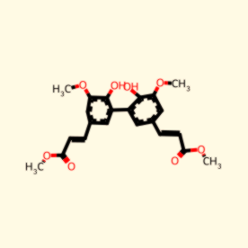 COC(=O)/C=C/c1cc(OC)c(O)c(-c2cc(/C=C/C(=O)OC)cc(OC)c2O)c1